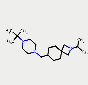 CC(C)N1CC2(CCC(CN3CCN(C(C)(C)C)CC3)CC2)C1